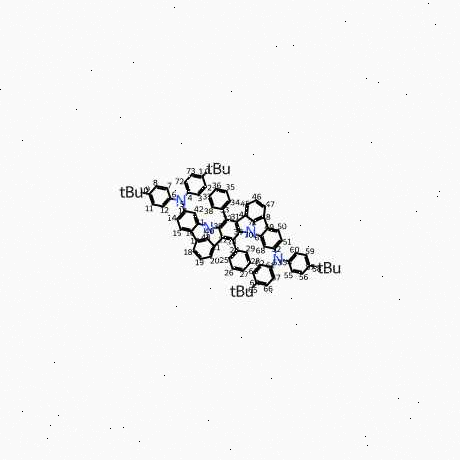 CC(C)(C)c1ccc(N(c2ccc(C(C)(C)C)cc2)c2ccc3c4cccc5c6c(-c7ccccc7)c7c(c(-c8ccccc8)c6n(c3c2)c45)c2cccc3c4ccc(N(c5ccc(C(C)(C)C)cc5)c5ccc(C(C)(C)C)cc5)cc4n7c32)cc1